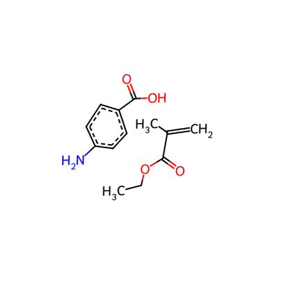 C=C(C)C(=O)OCC.Nc1ccc(C(=O)O)cc1